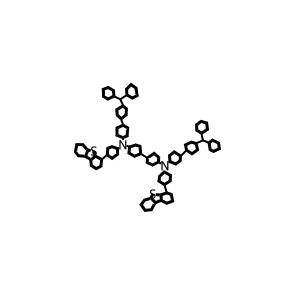 c1ccc(C(c2ccccc2)c2ccc(-c3ccc(N(c4ccc(-c5ccc(N(c6ccc(-c7ccc(C(c8ccccc8)c8ccccc8)cc7)cc6)c6ccc(-c7cccc8c7sc7ccccc78)cc6)cc5)cc4)c4ccc(-c5cccc6c5sc5ccccc56)cc4)cc3)cc2)cc1